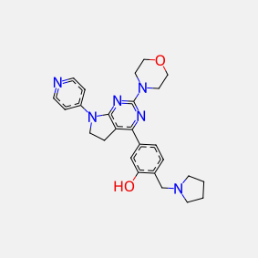 Oc1cc(-c2nc(N3CCOCC3)nc3c2CCN3c2ccncc2)ccc1CN1CCCC1